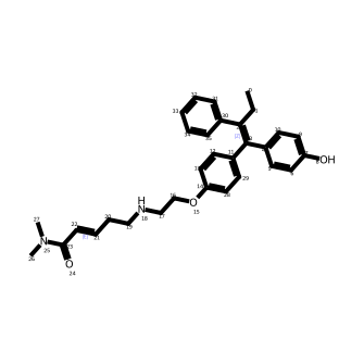 CC/C(=C(\c1ccc(O)cc1)c1ccc(OCCNCC/C=C/C(=O)N(C)C)cc1)c1ccccc1